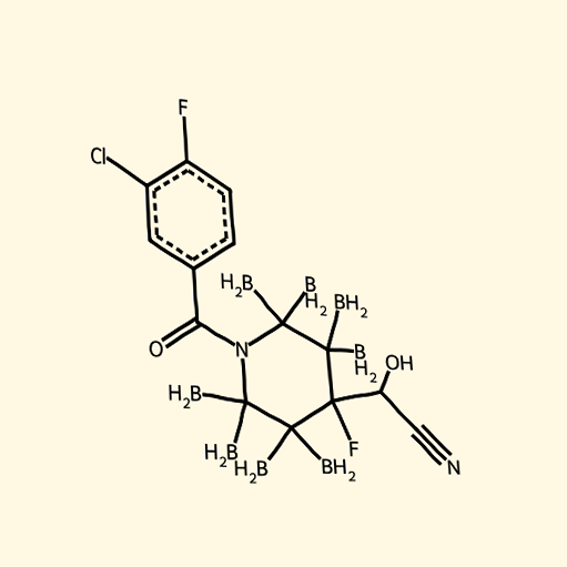 BC1(B)N(C(=O)c2ccc(F)c(Cl)c2)C(B)(B)C(B)(B)C(F)(C(O)C#N)C1(B)B